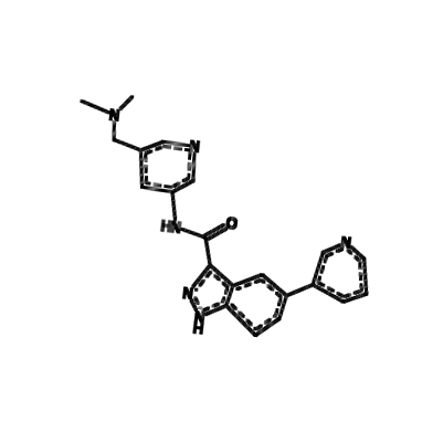 CN(C)Cc1cncc(NC(=O)c2n[nH]c3ccc(-c4cccnc4)cc23)c1